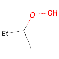 CCC(C)OO